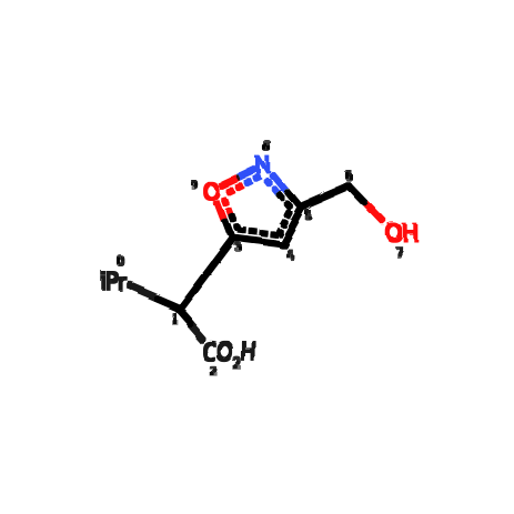 CC(C)C(C(=O)O)c1cc(CO)no1